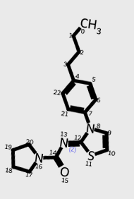 CCCCc1ccc(-n2ccs/c2=N\C(=O)N2CCCC2)cc1